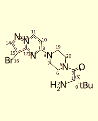 CC(C)(C)[C@H](N)C(=O)N1CCN(c2ccn3ncc(Br)c3n2)CC1